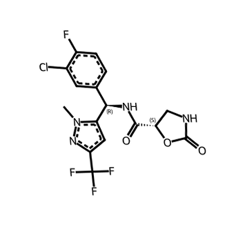 Cn1nc(C(F)(F)F)cc1[C@H](NC(=O)[C@@H]1CNC(=O)O1)c1ccc(F)c(Cl)c1